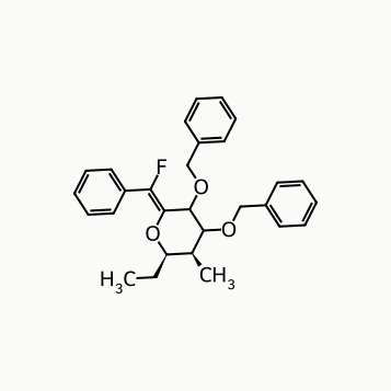 CC[C@H]1OC(=C(F)c2ccccc2)C(OCc2ccccc2)C(OCc2ccccc2)[C@H]1C